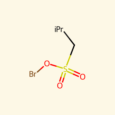 CC(C)CS(=O)(=O)OBr